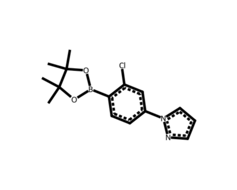 CC1(C)OB(c2ccc(-n3cccn3)cc2Cl)OC1(C)C